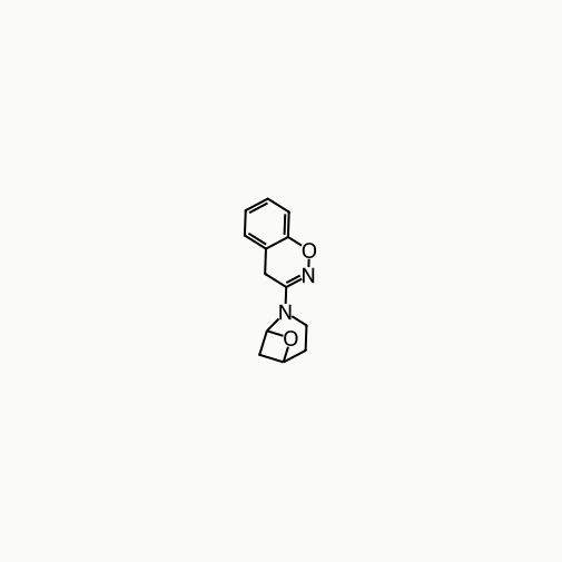 c1ccc2c(c1)CC(N1CCC3CC1O3)=NO2